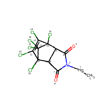 [CH3][Hg][N]1C(=O)C2C(C1=O)C1(Cl)C(Cl)=C(Cl)C2(Cl)C1(Cl)Cl